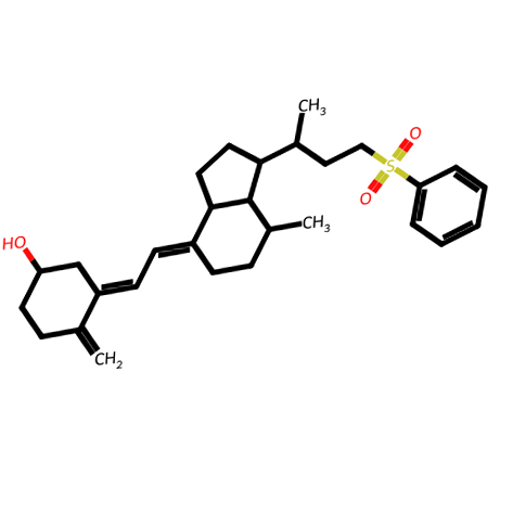 C=C1CCC(O)CC1=CC=C1CCC(C)C2C1CCC2C(C)CCS(=O)(=O)c1ccccc1